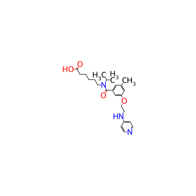 Cc1cc(OCCNc2ccncc2)cc(C(=O)N(CCCCCC(=O)O)C(C)C)c1